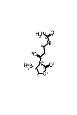 B[C@H]1COC(=O)N1C(=O)CCNC(=O)P